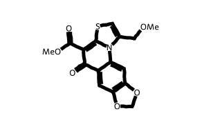 COCc1csc2c(C(=O)OC)c(=O)c3cc4c(cc3n12)OCO4